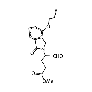 COC(=O)CCC(C=O)N1Cc2c(OCCBr)cccc2C1=O